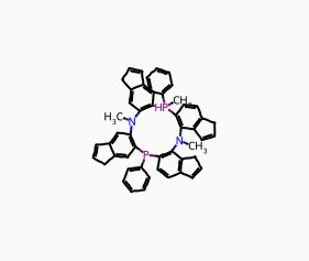 CN1c2cc3c(cc2P(c2ccccc2)c2ccc4c(c2N(C)c2c(ccc5c2C=CC5)[PH](C)(c2ccccc2)c2cc5c(cc21)CC=C5)CC=C4)CC=C3